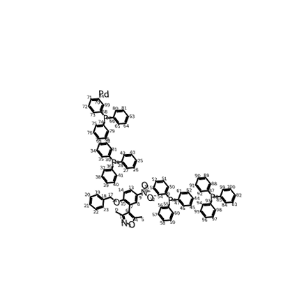 Cc1noc(C)c1-c1cc([N+](=O)[O-])ccc1OCc1ccccc1.[Pd].c1ccc(P(c2ccccc2)c2ccccc2)cc1.c1ccc(P(c2ccccc2)c2ccccc2)cc1.c1ccc(P(c2ccccc2)c2ccccc2)cc1.c1ccc(P(c2ccccc2)c2ccccc2)cc1